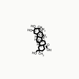 CC1(C)[C@H](O)[C@H](O)C[C@]2(C)[C@H]3CC=C4[C@@H]5C[C@@](C)(CO)CC[C@]5(C(=O)O)CC[C@@]4(C)[C@]3(C)CC[C@@H]12